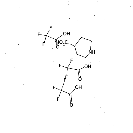 O=C(O)C(F)(F)F.O=C(O)C(F)(F)F.O=C(O)C(F)(F)F.O=C(O)C1CCNCC1